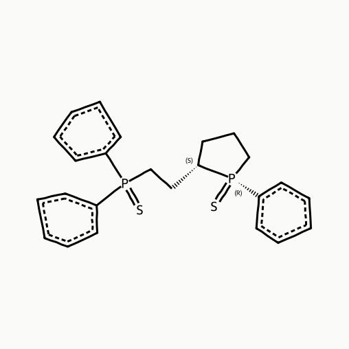 S=P(CC[C@@H]1CCC[P@]1(=S)c1ccccc1)(c1ccccc1)c1ccccc1